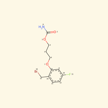 NC(=O)OCCCOc1cc(F)ccc1CBr